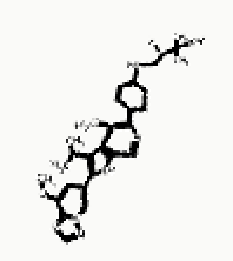 COc1cc(-c2[nH]c3cnc(C4CCC(NC[C@@H](F)C(C)(C)O)CC4)c(C)c3c2C(C)C)cn2ncnc12